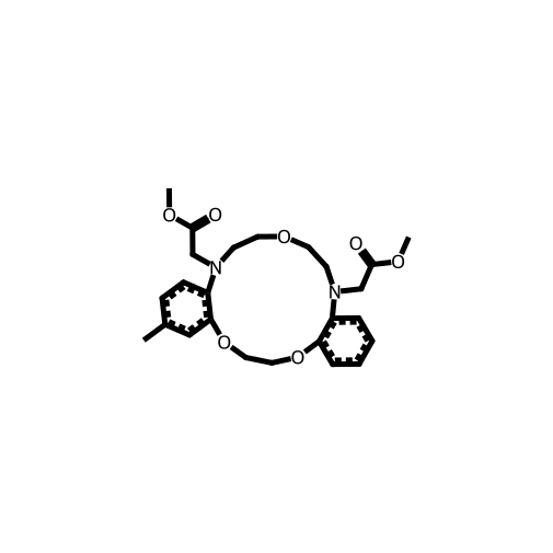 COC(=O)CN1CCOCCN(CC(=O)OC)c2ccc(C)cc2OCCOc2ccccc21